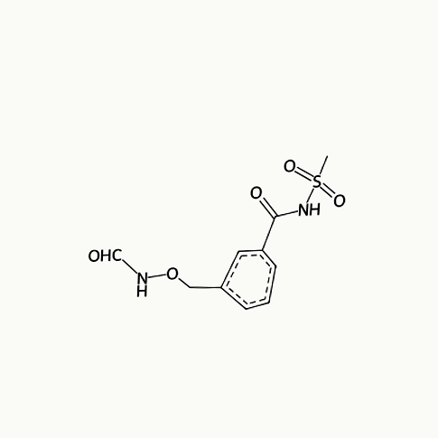 CS(=O)(=O)NC(=O)c1cccc(CONC=O)c1